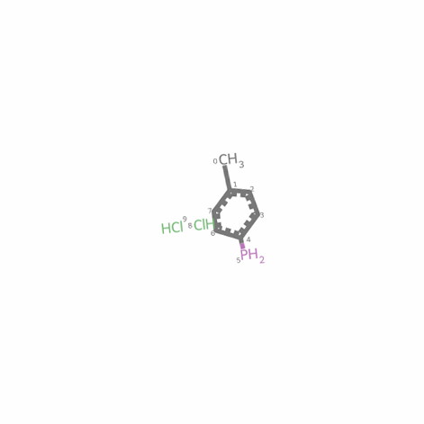 Cc1ccc(P)cc1.Cl.Cl